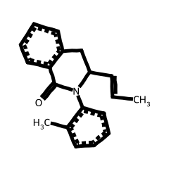 CC=CC1Cc2ccccc2C(=O)N1c1ccccc1C